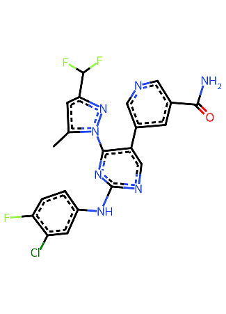 Cc1cc(C(F)F)nn1-c1nc(Nc2ccc(F)c(Cl)c2)ncc1-c1cncc(C(N)=O)c1